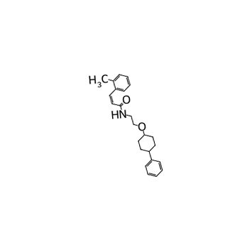 Cc1ccccc1/C=C\C(=O)NCCOC1CCC(c2ccccc2)CC1